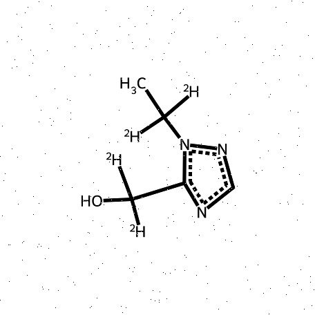 [2H]C([2H])(O)c1ncnn1C([2H])([2H])C